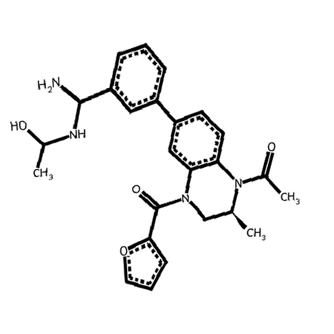 CC(=O)N1c2ccc(-c3cccc(C(N)NC(C)O)c3)cc2N(C(=O)c2ccco2)C[C@@H]1C